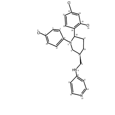 Clc1ccc(N2C[C@H](CNc3ccncc3)CCC2c2ccc(Cl)cc2Cl)cc1